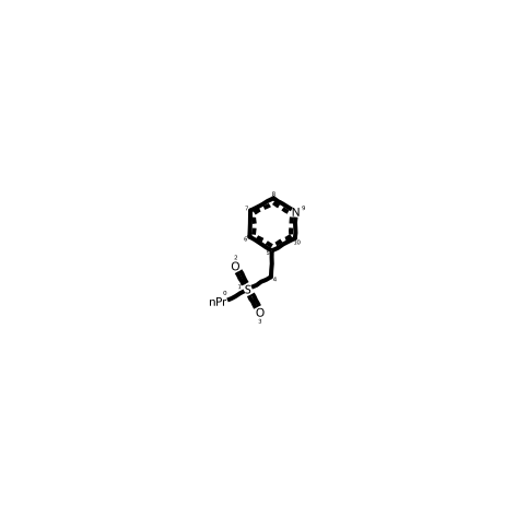 CCCS(=O)(=O)Cc1cccnc1